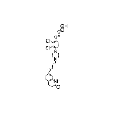 O=C1CCc2ccc(OCCCN3CCN(c4ccc(OSOOO)c(Cl)c4Cl)CC3)cc2N1